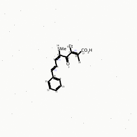 CC/C(C(=O)/C(=C\C=C\c1ccccc1)SC)=C(/C)C(=O)O